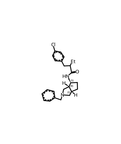 CCC(Cc1ccc(Cl)cc1)C(=O)N[C@H]1CC[C@@H]2CN(Cc3ccccc3)C[C@@H]21